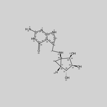 Nc1nc2[nH]cc(CN[C@]34C[C@H]3[C@@H](O)[C@H](O)[C@@H]4O)c2c(=O)[nH]1